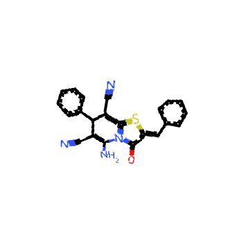 N#CC1=C(N)n2c(s/c(=C\c3ccccc3)c2=O)=C(C#N)C1c1ccccc1